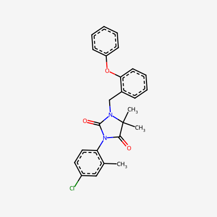 Cc1cc(Cl)ccc1N1C(=O)N(Cc2ccccc2Oc2ccccc2)C(C)(C)C1=O